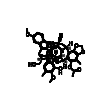 COc1ccc2[nH]c3c(c2c1)C[C@@H](CO)N[C@]31CS[C@@H]2c3c(OC(C)=O)c(C)c4c(c3[C@H](COC1=O)N1[C@@H]2[C@H]2c3c(cc(C)c(OC)c3O)C3(C)CC1(C#N)CN23)OCO4